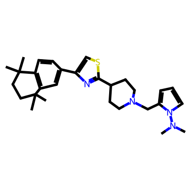 CN(C)n1cccc1CN1CCC(c2nc(-c3ccc4c(c3)C(C)(C)CCC4(C)C)cs2)CC1